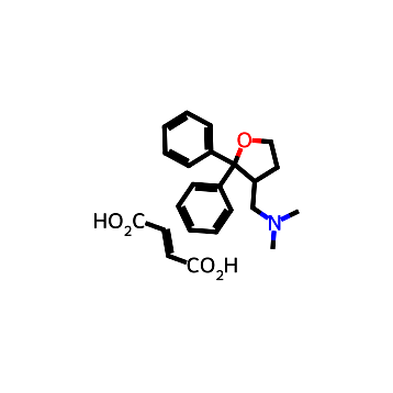 CN(C)CC1CCOC1(c1ccccc1)c1ccccc1.O=C(O)/C=C/C(=O)O